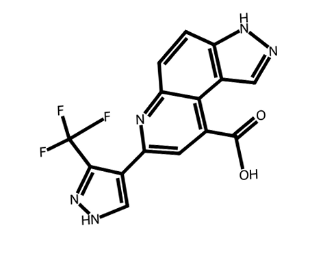 O=C(O)c1cc(-c2c[nH]nc2C(F)(F)F)nc2ccc3[nH]ncc3c12